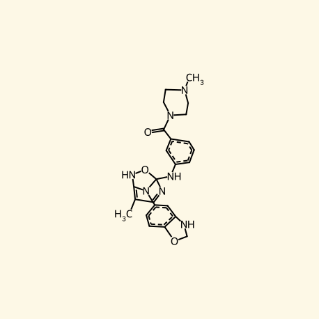 CC1=C2NOC(Nc3cccc(C(=O)N4CCN(C)CC4)c3)(N=C1)N2c1ccc2c(c1)NCO2